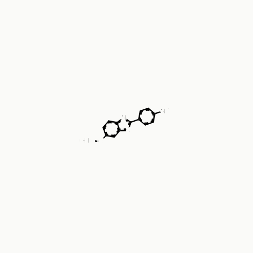 O=COc1ccc2nc(-c3ccc([N+](=O)[O-])cc3)sc2c1